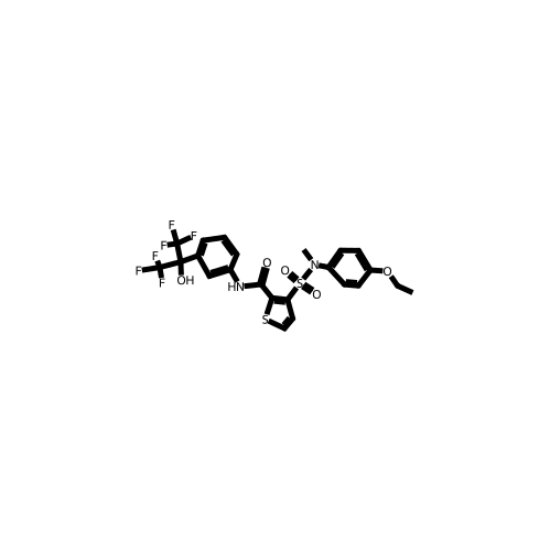 CCOc1ccc(N(C)S(=O)(=O)c2ccsc2C(=O)Nc2cccc(C(O)(C(F)(F)F)C(F)(F)F)c2)cc1